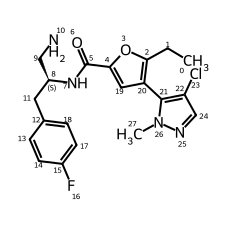 CCc1oc(C(=O)N[C@H](CN)Cc2ccc(F)cc2)cc1-c1c(Cl)cnn1C